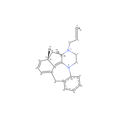 C=CCN1CCN2C3=C4C(=CC=C[C@@H]4C[C@H]31)Cc1ccccc12